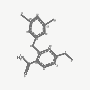 CCc1ncc(C(N)=O)c(Cc2cc(C)cc(C)c2)n1